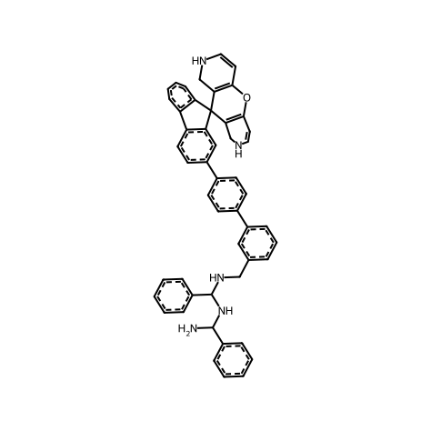 NC(NC(NCc1cccc(-c2ccc(-c3ccc4c(c3)C3(C5=C(C=CNC5)OC5=C3CNC=C5)c3ccccc3-4)cc2)c1)c1ccccc1)c1ccccc1